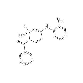 Cc1ccccc1NC1=CC(C)(Cl)C(C(=O)c2ccccc2)C=C1